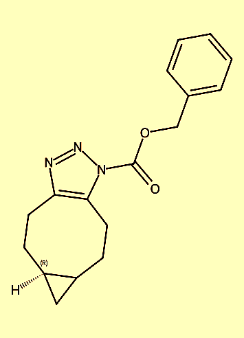 O=C(OCc1ccccc1)n1nnc2c1CCC1C[C@H]1CC2